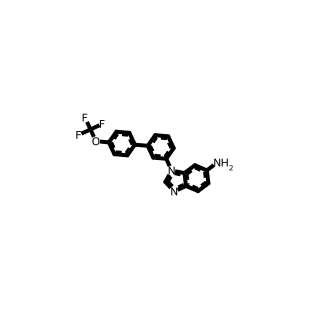 Nc1ccc2ncn(-c3cccc(-c4ccc(OC(F)(F)F)cc4)c3)c2c1